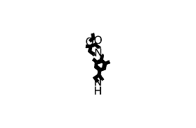 CC(=O)OC1(C)CCN(Cc2c(C)cc(C3CNC3)cc2C)CC1